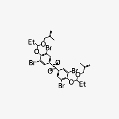 C=C(C)COC(CC)Oc1c(Br)cc(S(=O)(=O)c2cc(Br)c(OC(CC)OCC(=C)C)c(Br)c2)cc1Br